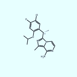 Cc1nc([C@@H](C)c2cc(Cl)c(F)[c]c2OC(C)C)n2ccnc(N)c12